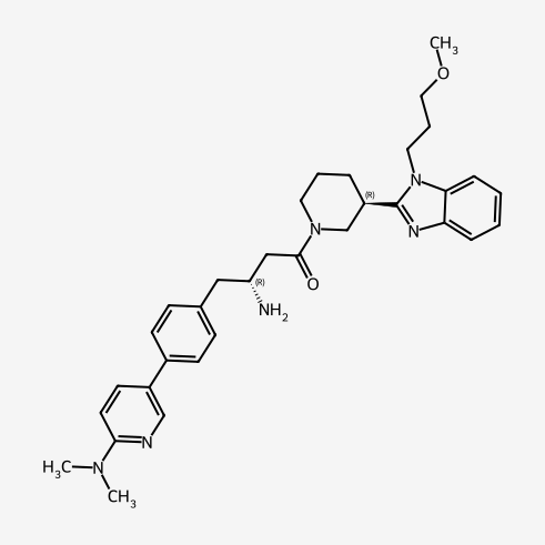 COCCCn1c([C@@H]2CCCN(C(=O)C[C@H](N)Cc3ccc(-c4ccc(N(C)C)nc4)cc3)C2)nc2ccccc21